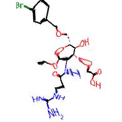 CCO[C@H]1O[C@H](COCc2ccc(Br)cc2)[C@@H](O)[C@H](OCC(=O)O)[C@H]1NC(=O)CCNC(=N)N